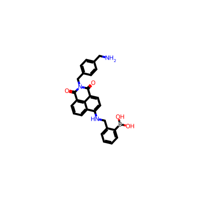 NCc1ccc(CN2C(=O)c3cccc4c(NCc5ccccc5B(O)O)ccc(c34)C2=O)cc1